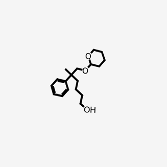 CC(CCCCO)(COC1CCCCO1)c1ccccc1